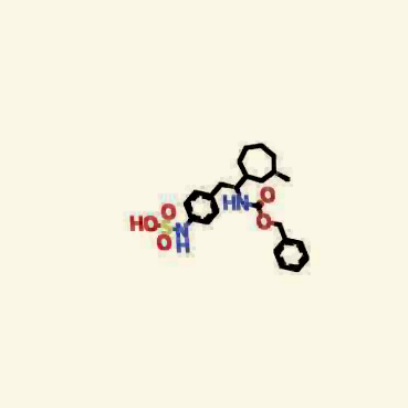 C[C@@H]1CCCCC([C@H](Cc2ccc(NS(=O)(=O)O)cc2)NC(=O)OCc2ccccc2)C1